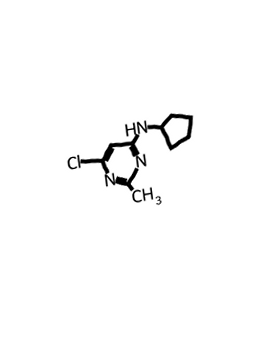 Cc1nc(Cl)cc(NC2CCCC2)n1